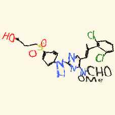 CON(C=O)c1nc(Nc2ccc(S(=O)(=O)CCCO)cc2)ncc1/C=C(\C)c1c(Cl)cccc1Cl